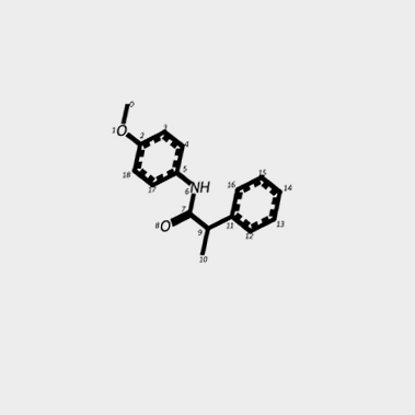 COc1ccc(NC(=O)C(C)c2ccccc2)cc1